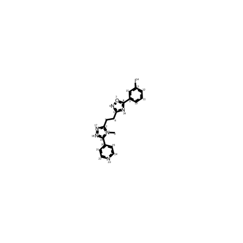 Cn1c(CCc2noc(-c3cccc(I)c3)n2)nnc1-c1ccncc1